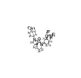 O=C1N(C2CCC(O)CC2)CC[C@@]12CCCN(c1cccc(OC(F)(F)F)c1)C2